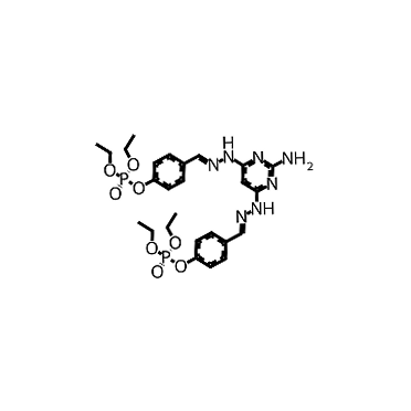 CCOP(=O)(OCC)Oc1ccc(C=NNc2cc(NN=Cc3ccc(OP(=O)(OCC)OCC)cc3)nc(N)n2)cc1